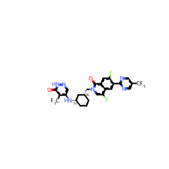 O=c1[nH]ncc(N[C@H]2CCC[C@@H](Cn3cc(F)c4cc(-c5ncc(C(F)(F)F)cn5)c(F)cc4c3=O)C2)c1C(F)(F)F